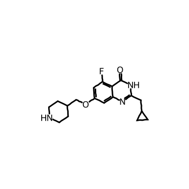 O=c1[nH]c(CC2CC2)nc2cc(OCC3CCNCC3)cc(F)c12